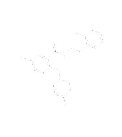 O=C(NCCc1ccccc1Cl)c1cc(Cl)nnc1Sc1ccc(Cl)cc1